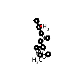 C\C=C(/C=C\C(=C/C)c1ccc(N(c2ccccc2)c2cccc(-c3cccc4c3c3ccccc3n4-c3ccc(C)c(Oc4ccccc4C)c3)c2)cc1)c1ccccc1